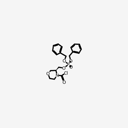 O=C(Cl)N1CCOC[C@H]1COP(=O)(OCc1ccccc1)OCc1ccccc1